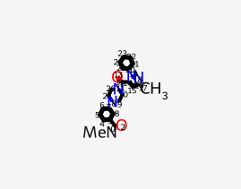 CNC(=O)c1cccc(N2CCN(C(=O)c3cc(C)nn3-c3ccccc3)CC2)c1